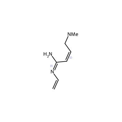 C=C/N=C(N)\C=C/CNC